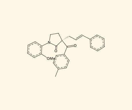 COc1ccccc1N1CC[C@@](C/C=C/c2ccccc2)(C(=O)c2ccc(C)cc2)C1=O